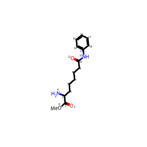 COC(=O)C(N)CCCCCC(=O)Nc1ccccc1